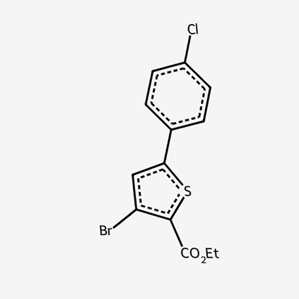 CCOC(=O)c1sc(-c2ccc(Cl)cc2)cc1Br